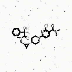 CN(C)C(=O)c1ccc(N2CCC([C@@H]3C[C@H]3CN(C)C(=O)[C@@](C)(O)c3ccccc3)CC2)nc1Cl